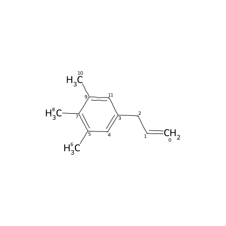 C=CCc1cc(C)c(C)c(C)c1